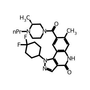 CCCN1CCN(C(=O)c2cc3c(cc2C)[nH]c(=O)c2cnn(C4CCC(F)(F)CC4)c23)C[C@@H]1C